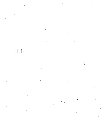 Nc1ccc2n[c]sc2c1